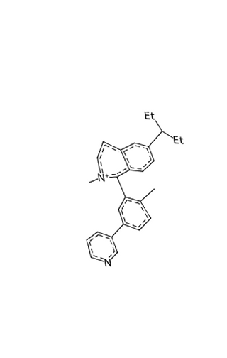 CCC(CC)c1ccc2c(-c3cc(-c4cccnc4)ccc3C)[n+](C)ccc2c1